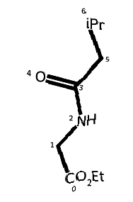 CCOC(=O)CNC(=O)CC(C)C